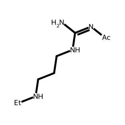 CCNCCCN/C(N)=N\C(C)=O